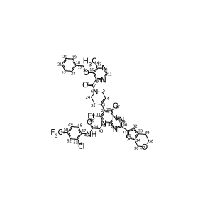 CCc1c(C2=CCN(C(=O)c3ncnc(C)c3OCc3ccccc3)CC2)c(=O)n2nc(-c3cc4c(s3)COCC4)nc2n1CC(=O)Nc1ccc(C(F)(F)F)cc1Cl